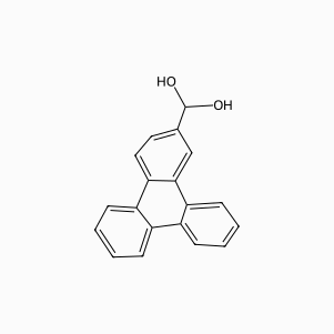 OC(O)c1ccc2c3ccccc3c3ccccc3c2c1